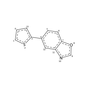 c1csc(-c2ccc3ocnc3c2)c1